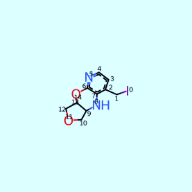 ICc1ccnc2c1NC1COCC1O2